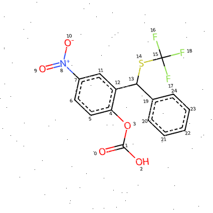 O=C(O)Oc1ccc([N+](=O)[O-])cc1C(SC(F)(F)F)c1ccccc1